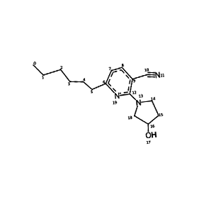 CCCCCCc1ccc(C#N)c(N2CCC(O)C2)n1